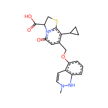 CN1C=Cc2c(cccc2OCc2cc(=O)n3c(c2C2CC2)SCC3C(=O)O)N1